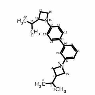 CC(C)C1CN(c2cccc(-c3ccc(N4CCC4C(C)C)cc3)c2)C1